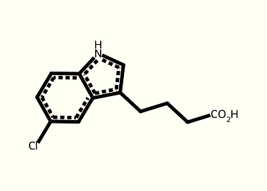 O=C(O)CCCc1c[nH]c2ccc(Cl)cc12